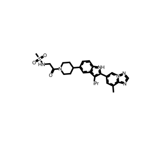 Cc1cc(-c2[nH]c3ccc(C4CCN(C(=O)CNS(C)(=O)=O)CC4)cc3c2C(C)C)cn2ncnc12